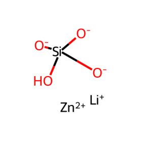 [Li+].[O-][Si]([O-])([O-])O.[Zn+2]